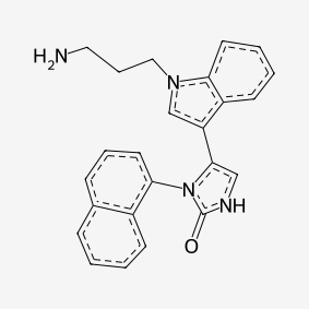 NCCCn1cc(-c2c[nH]c(=O)n2-c2cccc3ccccc23)c2ccccc21